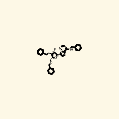 F[C@H]1[C@H](OCc2ccccc2)[C@@H](COCc2ccccc2)O[C@H]1c1cnc2c(NCc3ccccc3)ncnn12